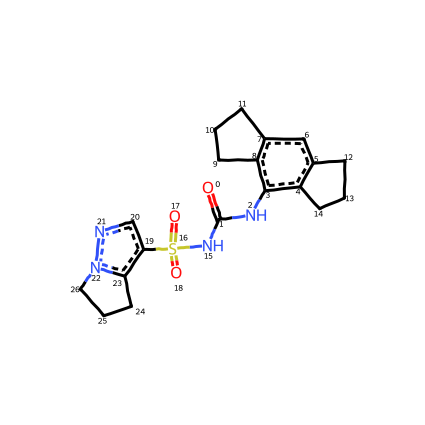 O=C(Nc1c2c(cc3c1CCC3)CCC2)NS(=O)(=O)c1cnn2c1CCC2